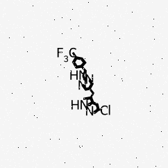 FC(F)(F)c1ccc(CNc2ncc(Cc3c[nH]c4ncc(Cl)cc34)cn2)cc1